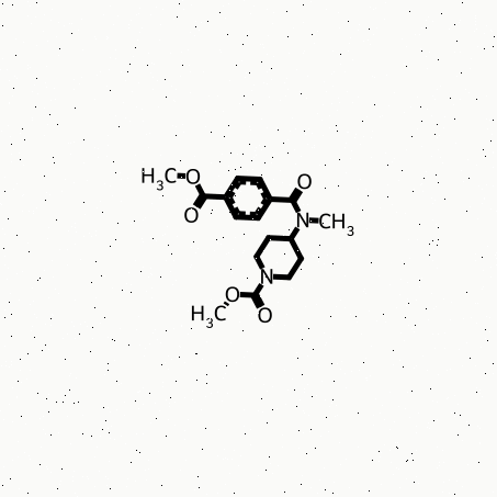 COC(=O)c1ccc(C(=O)N(C)C2CCN(C(=O)OC)CC2)cc1